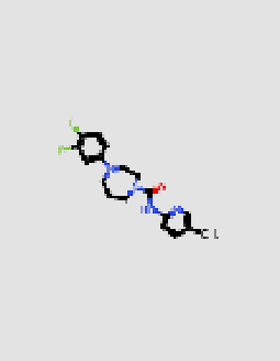 Cc1ccc(NC(=O)N2CCCN(c3ccc(F)c(F)c3)CC2)nc1